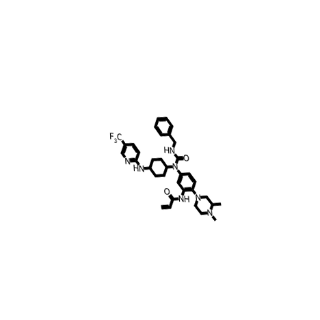 C=CC(=O)Nc1cc(N(C(=O)NCc2ccccc2)C2CCC(Nc3ccc(C(F)(F)F)cn3)CC2)ccc1N1CCN(C)C(C)C1